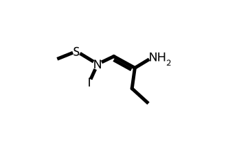 CC/C(N)=C\N(I)SC